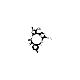 Cc1ccc2c(c1)[C@@H](C)Oc1nc(cnc1N)-c1c(nn(C)c1C#N)ON(C)C2=O